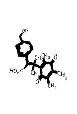 CC1=C(C)C(=O)C(C(C)(C)C(C(=O)O)c2ccc(CO)cc2)=C(C)C1=O